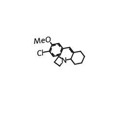 COc1cc(/C=C2/CCCCC2N2CCC2)ccc1Cl